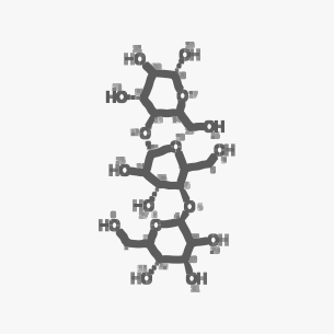 OCC1O[C@@H](O[C@@H]2C(CO)O[C@@H](O[C@@H]3C(CO)O[C@@H](O)C(O)[C@H]3O)C(O)[C@H]2O)C(O)[C@@H](O)[C@@H]1O